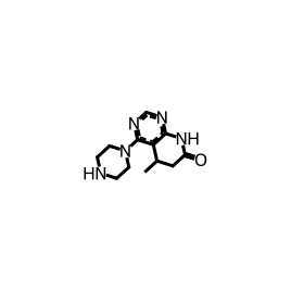 CC1CC(=O)Nc2ncnc(N3CCNCC3)c21